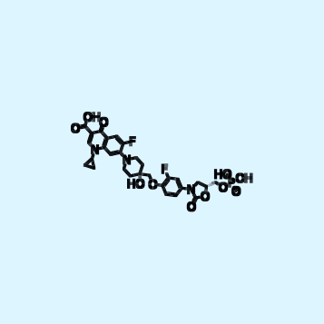 O=C(O)c1cn(C2CC2)c2cc(N3CCC(O)(COc4ccc(N5C[C@H](COP(=O)(O)O)OC5=O)cc4F)CC3)c(F)cc2c1=O